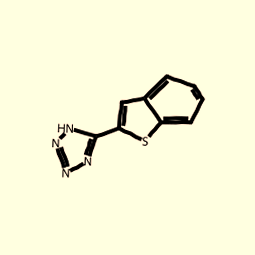 c1ccc2sc(-c3nnn[nH]3)cc2c1